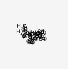 Cc1ccc(-c2cc3c(c4c2oc2ccccc24)-c2ccc(N(c4ccc5c(c4)C(C)(C)c4c6c(c7c(oc8ccccc87)c4-5)-c4ccccc4C6(C)C)c4cccc5ccccc45)cc2C3(C)C)c(C)c1